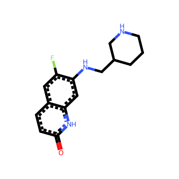 O=c1ccc2cc(F)c(NCC3CCCNC3)cc2[nH]1